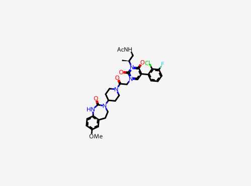 COc1ccc2c(c1)CCN(C1CCN(C(=O)Cn3cc(-c4cccc(F)c4Cl)c(=O)n([C@@H](C)CNC(C)=O)c3=O)CC1)C(=O)N2